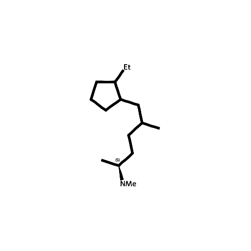 CCC1CCCC1CC(C)CC[C@H](C)NC